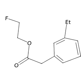 CCc1cccc(CC(=O)OCCF)c1